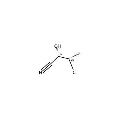 C[C@H](Cl)[C@@H](O)C#N